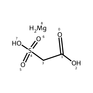 O=C(O)CS(=O)(=O)O.[MgH2]